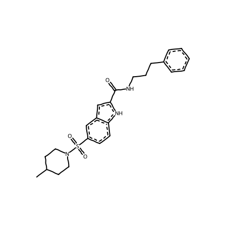 CC1CCN(S(=O)(=O)c2ccc3[nH]c(C(=O)NCCCc4ccccc4)cc3c2)CC1